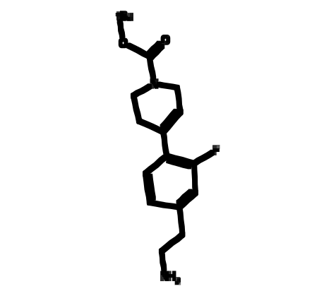 CC(C)(C)OC(=O)N1CC=C(c2ccc(CCN)cc2F)CC1